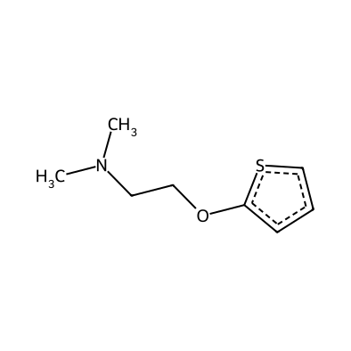 CN(C)CCOc1cccs1